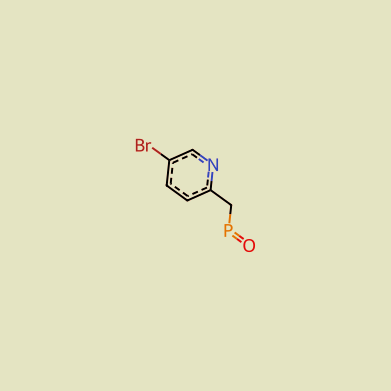 O=PCc1ccc(Br)cn1